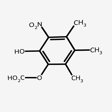 Cc1c(C)c(OC(=O)O)c(O)c([N+](=O)[O-])c1C